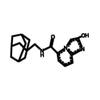 O=C(NCC12CC3CC(CC(C3)C1)C2)c1cccc2nc(O)cn12